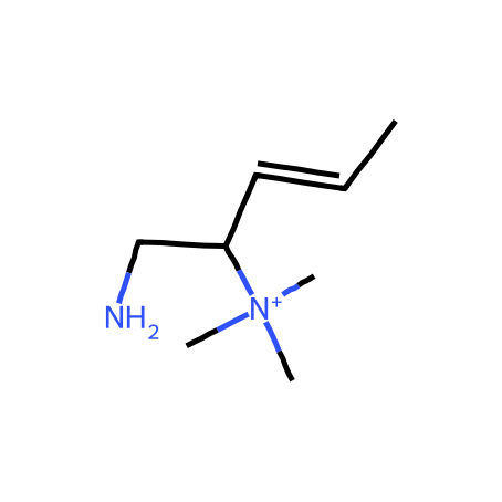 CC=CC(CN)[N+](C)(C)C